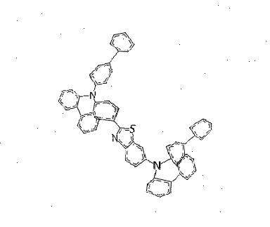 c1ccc(-c2ccc(N(c3ccc(-c4nc5ccc(N(c6ccc(-c7ccccc7)cc6)c6ccccc6-c6ccccc6)cc5s4)cc3)c3ccccc3-c3ccccc3)cc2)cc1